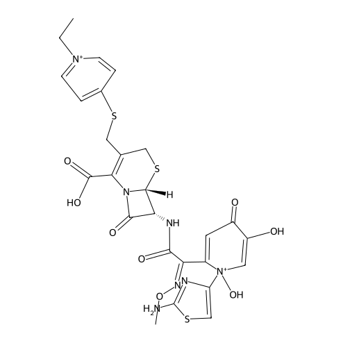 CC[n+]1ccc(SCC2=C(C(=O)O)N3C(=O)[C@@H](NC(=O)/C(=N\OC)C4=CC(=O)C(O)=C[N+]4(O)c4csc(N)n4)[C@H]3SC2)cc1